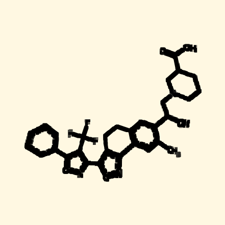 Cc1cc2c(cc1C(O)CN1CCCC(C(=O)O)C1)CCc1c-2noc1-c1noc(-c2ccccc2)c1C(F)(F)F